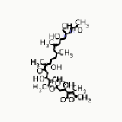 C=C1OC(=O)C(C(O)CC(=O)O[C@H](C)[C@@H](C)C(O)CC(=O)[C@@H](C)C(O)CCC(C)C[C@@H](C)CC(O)/C=C(/C=C/C(C)=O)CC)=C1C